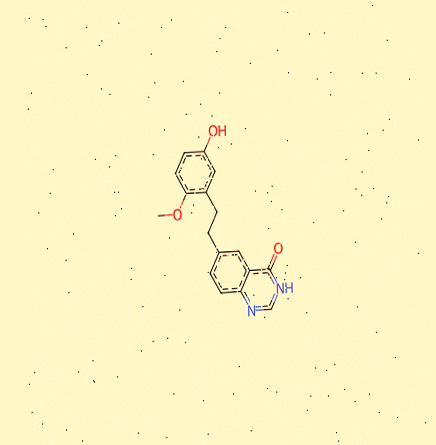 COc1ccc(O)cc1CCc1ccc2nc[nH]c(=O)c2c1